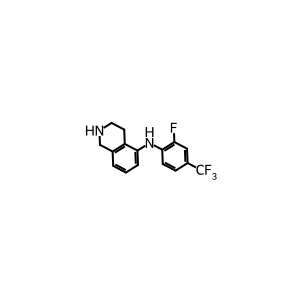 Fc1cc(C(F)(F)F)ccc1Nc1cccc2c1CCNC2